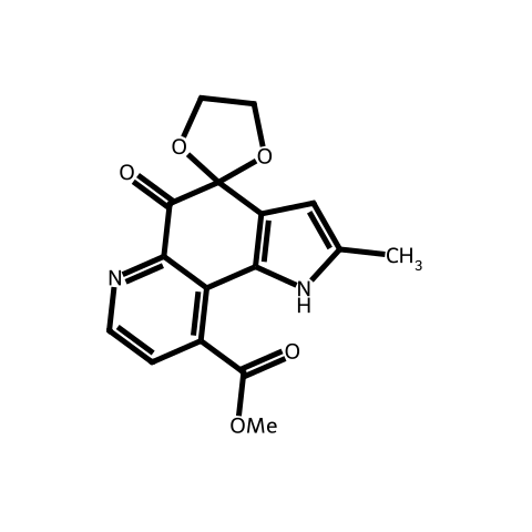 COC(=O)c1ccnc2c1-c1[nH]c(C)cc1C1(OCCO1)C2=O